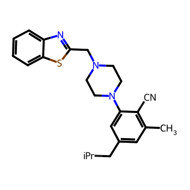 Cc1cc(CC(C)C)cc(N2CCN(Cc3nc4ccccc4s3)CC2)c1C#N